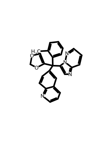 Cc1ccccc1C(C1=COCO1)(c1ccc2ncccc2c1)c1cnc2cccnn12